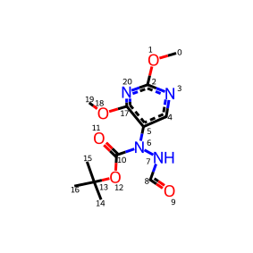 COc1ncc(N(NC=O)C(=O)OC(C)(C)C)c(OC)n1